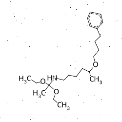 CCOC(C)(NCCCCC(C)OCCCCc1ccccc1)OCC